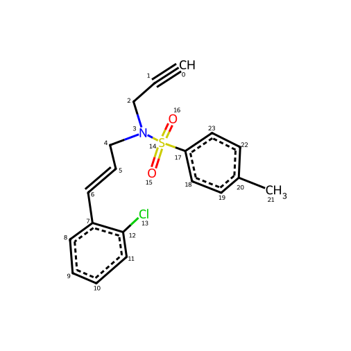 C#CCN(CC=Cc1ccccc1Cl)S(=O)(=O)c1ccc(C)cc1